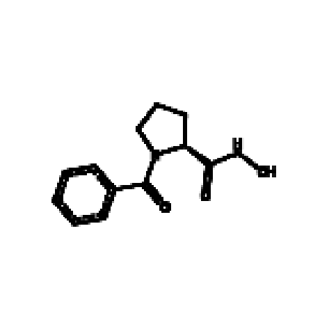 O=C(NO)[C@@H]1CCCN1C(=O)c1ccccc1